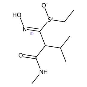 CC[S+]([O-])/C(=N\O)C(C(=O)NC)C(C)C